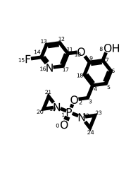 O=P(OCc1ccc(O)c(Oc2ccc(F)nc2)c1)(N1CC1)N1CC1